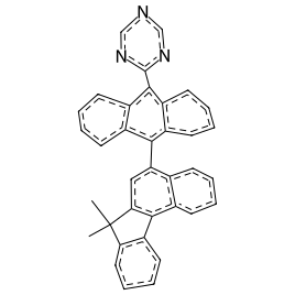 CC1(C)c2ccccc2-c2c1cc(-c1c3ccccc3c(-c3ncncn3)c3ccccc13)c1ccccc21